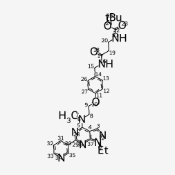 CCn1ncc2c(N(C)CCOc3ccc(CNC(=O)CCNC(=O)OC(C)(C)C)cc3)nc(-c3cccnc3)nc21